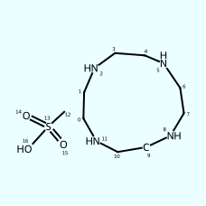 C1CNCCNCCNCCN1.CS(=O)(=O)O